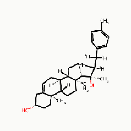 [2H]C([2H])(c1ccc(C)cc1)C([2H])([2H])[C@@](C)(O)[C@H]1CC[C@H]2[C@@H]3CC=C4C[C@@H](O)CC[C@]4(C)[C@H]3CC[C@@]21C